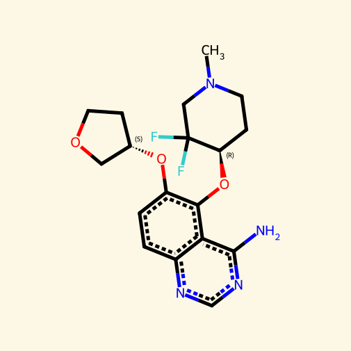 CN1CC[C@@H](Oc2c(O[C@H]3CCOC3)ccc3ncnc(N)c23)C(F)(F)C1